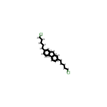 ClCCCCCc1ccc2c(c1)Cc1cc(CCCCCCl)ccc1-2